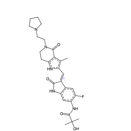 Cc1c(/C=C2\C(=O)Nc3cc(NC(=O)C(C)(C)O)c(F)cc32)[nH]c2c1C(=O)N(CCN1CCCC1)CC2